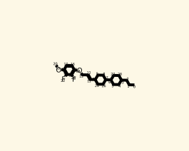 CCCC1CCC(C2CCC(/C=C/COc3ccc(OC)c(F)c3F)CC2)CC1